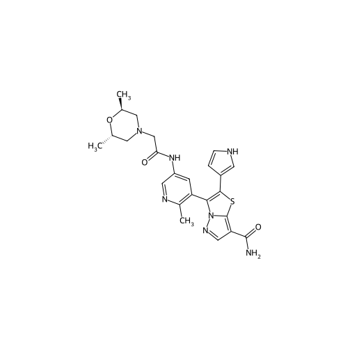 Cc1ncc(NC(=O)CN2C[C@H](C)O[C@@H](C)C2)cc1-c1c(-c2cc[nH]c2)sc2c(C(N)=O)cnn12